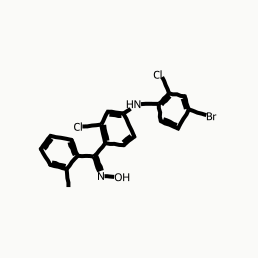 Cc1ccccc1C(=NO)c1ccc(Nc2ccc(Br)cc2Cl)cc1Cl